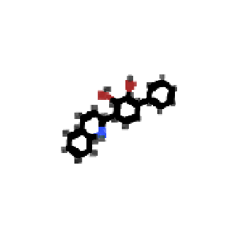 Brc1c(-c2ccccc2)ccc(-c2ccc3ccccc3n2)c1Br